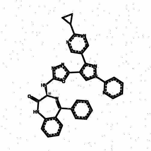 O=C1Nc2ccccc2C(c2ccccc2)=N[C@@H]1Nc1nnc(-c2cn(-c3ccccn3)nc2-c2cnc(C3CC3)nc2)o1